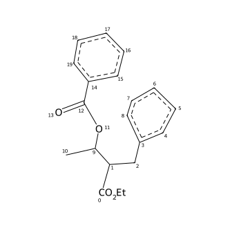 CCOC(=O)C(Cc1ccccc1)C(C)OC(=O)c1ccccc1